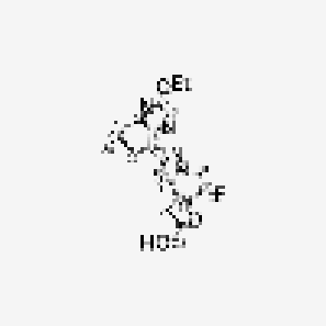 CCOc1cnc2c(-c3nc4cc(F)c5c(c4s3)CC(CO)O5)cc(C)cc2n1